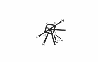 C[C@@H]1[C@H](C)[C@@H]2S[C@H]1[S+]2[O-]